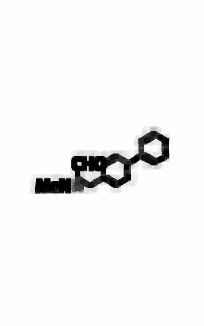 CN[C@H](C=O)Cc1ccc(-c2ccccc2)cc1